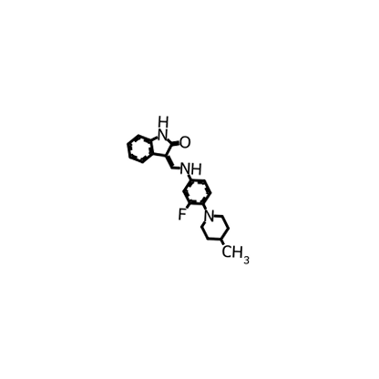 CC1CCN(c2ccc(NC=C3C(=O)Nc4ccccc43)cc2F)CC1